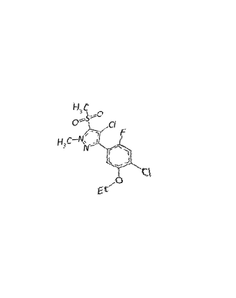 CCOc1cc(-c2nn(C)c(S(C)(=O)=O)c2Cl)c(F)cc1Cl